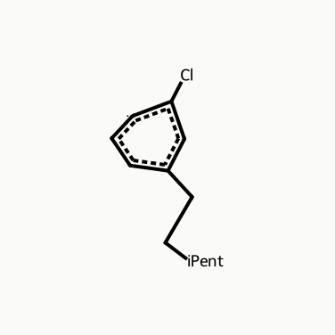 CCCC(C)CCc1cc[c]c(Cl)c1